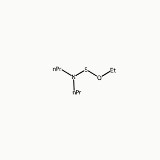 CCCN(CCC)SOCC